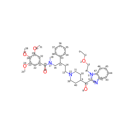 CCOCCn1c(C(=O)C2CCN(CCC(CN(C)C(=O)c3cc(OC)c(OC)c(OC)c3)c3ccccc3)CC2)nc2ccccc21